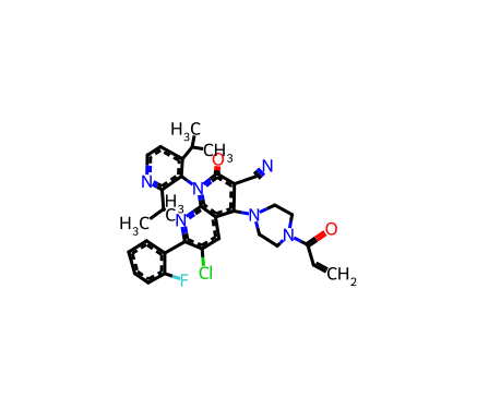 C=CC(=O)N1CCN(c2c(C#N)c(=O)n(-c3c(C(C)C)ccnc3C(C)C)c3nc(-c4ccccc4F)c(Cl)cc23)CC1